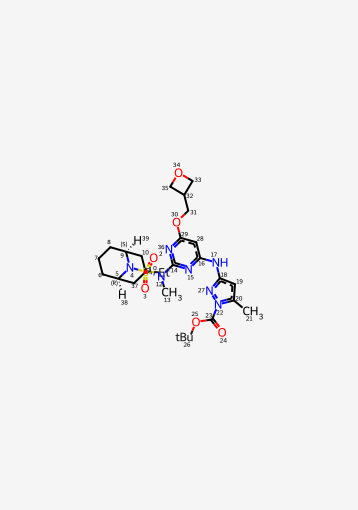 CCS(=O)(=O)N1[C@@H]2CCC[C@H]1C[C@H](N(C)c1nc(Nc3cc(C)n(C(=O)OC(C)(C)C)n3)cc(OCC3COC3)n1)C2